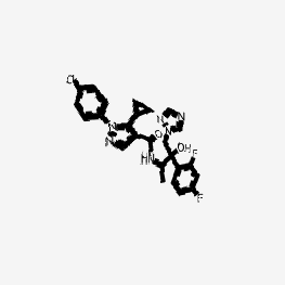 CC(NC(=O)c1cnn(-c2ccc(Cl)cc2)c1C1CC1)C(O)(Cn1cncn1)c1ccc(F)cc1F